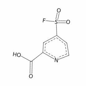 O=C(O)c1cc(S(=O)(=O)F)ccn1